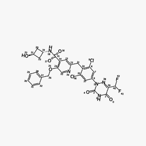 O=c1[nH]c(=O)n(-c2cc(Cl)c(Cc3cc(S(=O)(=O)N[C@H]4C[C@H](O)C4)c(OCc4ccccc4)cn3)c(Cl)c2)nc1C(F)F